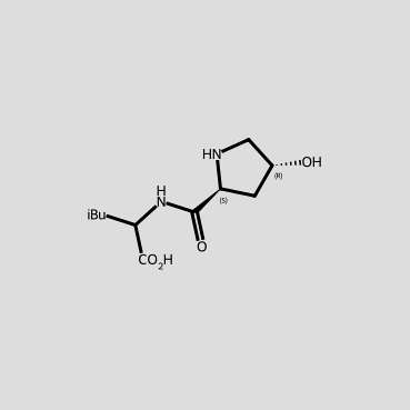 CCC(C)C(NC(=O)[C@@H]1C[C@@H](O)CN1)C(=O)O